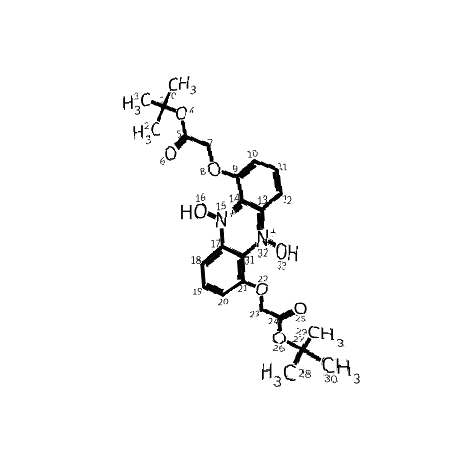 CC(C)(C)OC(=O)COc1cccc2c1[n+](O)c1cccc(OCC(=O)OC(C)(C)C)c1[n+]2O